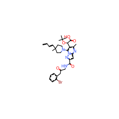 C=C/C=C/C1(C)CCN(c2c(C(OC(C)(C)C)C(=O)O)c(C)nc3cc(C(=O)NCC(=O)Cc4ccccc4Br)nn23)CC1